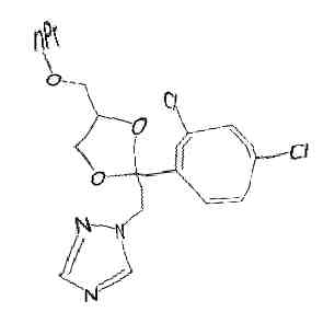 CCCOCC1COC(Cn2cncn2)(c2ccc(Cl)cc2Cl)O1